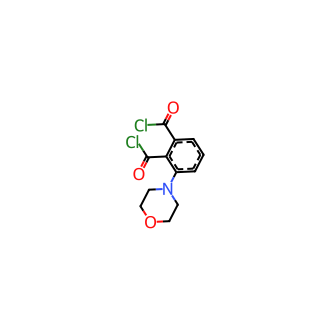 O=C(Cl)c1cccc(N2CCOCC2)c1C(=O)Cl